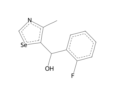 Cc1nc[se]c1C(O)c1ccccc1F